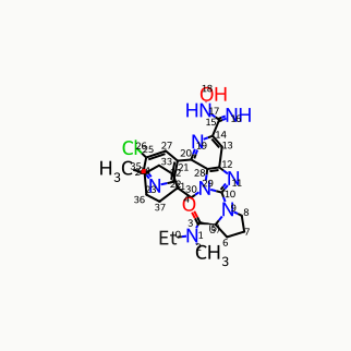 CCN(C)C(=O)[C@@H]1CCCN1c1nc2cc(C(=N)NO)nc(-c3cncc(Cl)c3)c2n1CC1CCC(C)CC1